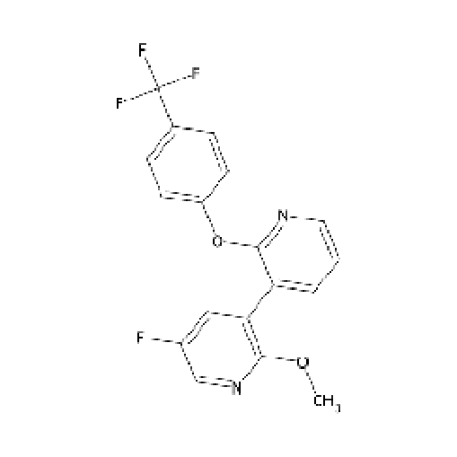 COc1ncc(F)cc1-c1cccnc1Oc1ccc(C(F)(F)F)cc1